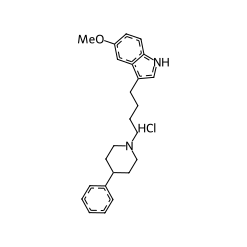 COc1ccc2[nH]cc(CCCCN3CCC(c4ccccc4)CC3)c2c1.Cl